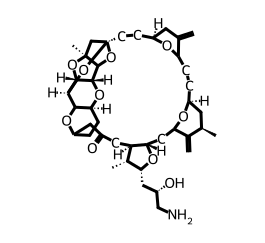 C=C1C[C@@H]2CC[C@@]34C[C@]5(C)O[C@H]6[C@@H](O3)C3OC(CC[C@@H]3O[C@H]6C5O4)CC(=O)C[C@@H]3[C@@H](C)[C@@H](C[C@H](O)CN)O[C@H]3CC3O[C@@H](CCC1O2)C[C@@H](C)C3=C